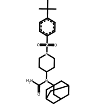 CC(C)(C)c1ccc(S(=O)(=O)N2CCC(N(C(N)=O)C34CC5CC(CC(C5)C3)C4)CC2)cc1